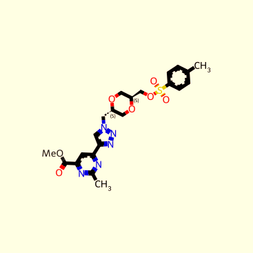 COC(=O)c1cc(-c2cn(C[C@H]3CO[C@H](COS(=O)(=O)c4ccc(C)cc4)CO3)nn2)nc(C)n1